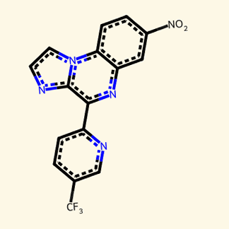 O=[N+]([O-])c1ccc2c(c1)nc(-c1ccc(C(F)(F)F)cn1)c1nccn12